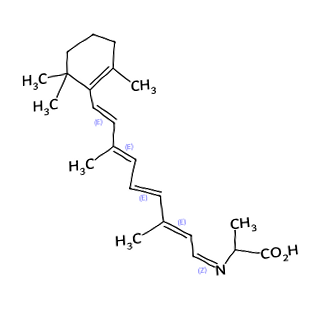 CC1=C(/C=C/C(C)=C/C=C/C(C)=C/C=N\C(C)C(=O)O)C(C)(C)CCC1